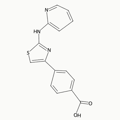 O=C(O)c1ccc(-c2csc(Nc3ccccn3)n2)cc1